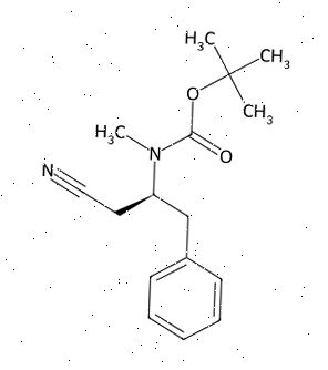 CN(C(=O)OC(C)(C)C)[C@H](CC#N)Cc1ccccc1